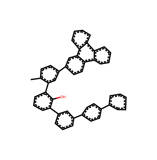 Cc1ccc(-c2ccc3c4ccccc4c4ccccc4c3c2)cc1-c1cccc(-c2cccc(-c3ccc(-c4ccccc4)cc3)c2)c1O